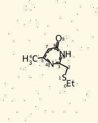 CCSCc1nc(C)cc(=O)[nH]1